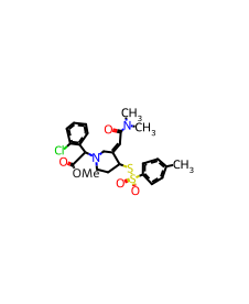 COC(=O)C(c1ccccc1Cl)N1CCC(SS(=O)(=O)c2ccc(C)cc2)C(=CC(=O)N(C)C)C1